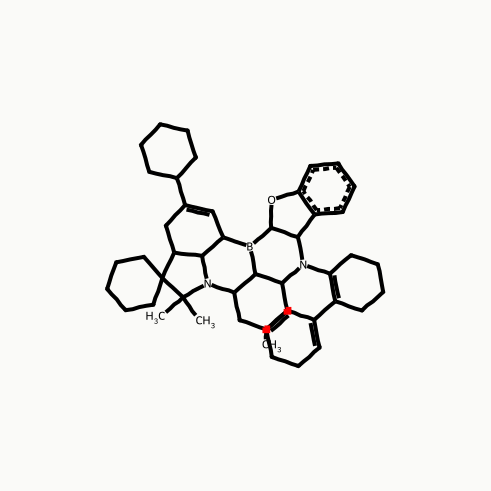 CC1CC2C3B(C4C=C(C5CCCCC5)CC5C4N(C3C1)C(C)(C)C51CCCCC1)C1Oc3ccccc3C1N2C1=C(C2=CCCC=C2)CCCC1